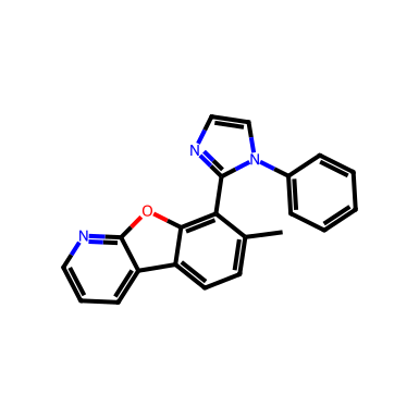 Cc1ccc2c(oc3ncccc32)c1-c1nccn1-c1ccccc1